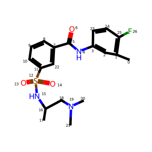 Cc1cc(NC(=O)c2cccc(S(=O)(=O)NC(C)CN(C)C)c2)ccc1F